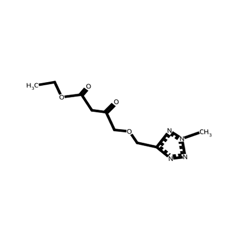 CCOC(=O)CC(=O)COCc1nnn(C)n1